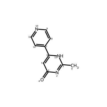 Cc1nc(=O)cc(-c2ccncc2)[nH]1